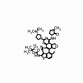 CN1CC[C@@H](Nc2nc(N3CC[C@H](N(C)C)C3)nc3c(F)c(-c4c(F)ccc5sc(NC(=O)OC(C)(C)C)c(C#N)c45)c4c(c23)COC4)C1=O